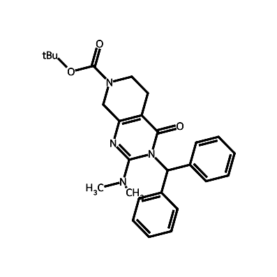 CN(C)c1nc2c(c(=O)n1C(c1ccccc1)c1ccccc1)CCN(C(=O)OC(C)(C)C)C2